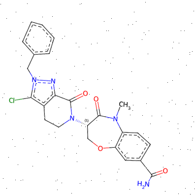 CN1C(=O)[C@@H](N2CCc3c(nn(Cc4ccccc4)c3Cl)C2=O)COc2cc(C(N)=O)ccc21